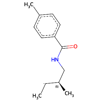 C[CH][C@H](C)CNC(=O)c1ccc(C)cc1